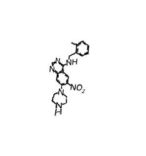 Cc1ccccc1CNc1ncnc2cc(N3CCNCC3)c([N+](=O)[O-])cc12